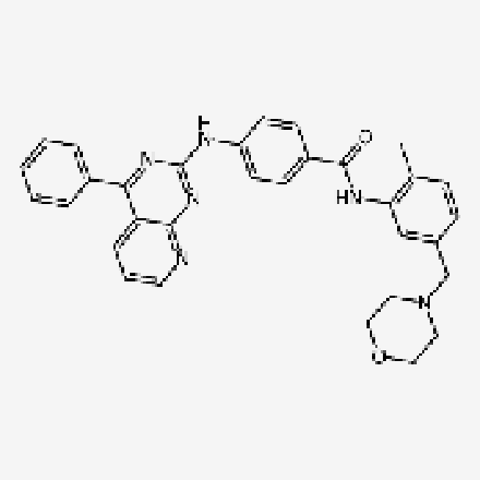 Cc1ccc(CN2CCOCC2)cc1NC(=O)c1ccc(Nc2nc(-c3ccccc3)c3cccnc3n2)cc1